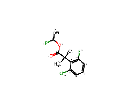 CCCC(F)OC(=O)C(C)(C#N)c1c(F)cccc1Cl